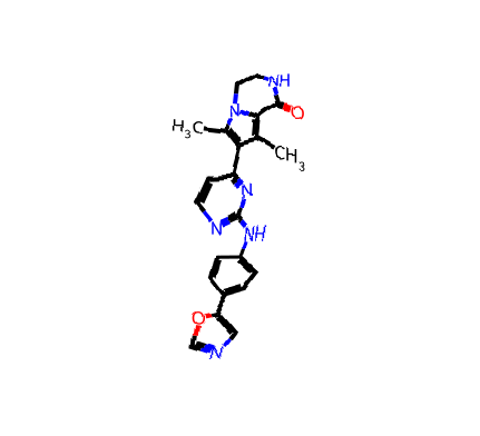 Cc1c(-c2ccnc(Nc3ccc(-c4cnco4)cc3)n2)c(C)n2c1C(=O)NCC2